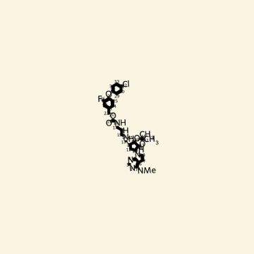 CNc1ncnc2c1ccn2[C@@H]1C[C@H](CNCCCNC(=O)OCc2ccc(Oc3ccc(Cl)cc3)c(F)c2)[C@H]2OC(C)(C)O[C@H]21